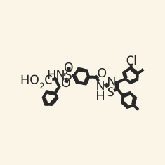 Cc1ccc(-c2sc(NC(=O)c3ccc(S(=O)(=O)NC(Cc4ccccc4)C(=O)O)cc3)nc2-c2ccc(C)c(Cl)c2)cc1